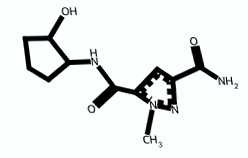 Cn1nc(C(N)=O)[c]c1C(=O)NC1CCCC1O